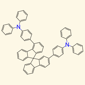 c1ccc(N(c2ccccc2)c2ccc(-c3ccc4c(c3)C3(c5ccccc5-4)c4ccccc4-c4c(-c5ccc(N(c6ccccc6)c6ccccc6)cc5)cccc43)cc2)cc1